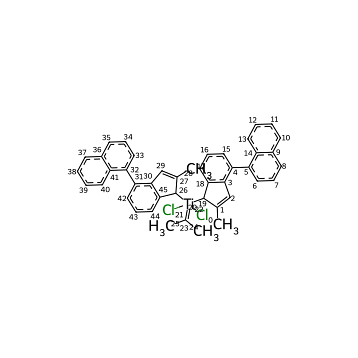 CC1=Cc2c(-c3cccc4ccccc34)cccc2[CH]1[Ti]([Cl])([Cl])(=[C](C)C)[CH]1C(C)=Cc2c(-c3cccc4ccccc34)cccc21